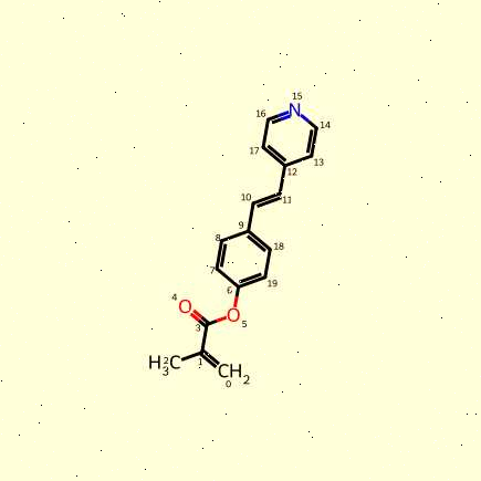 C=C(C)C(=O)Oc1ccc(C=Cc2ccncc2)cc1